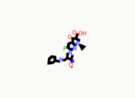 CON=C1CN(c2nc3c(cc2F)c(=O)c(C(=O)O)cn3C2CC2)CC1CN=Cc1ccccc1